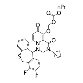 CCCOC(=O)OCOc1c2n(ccc1=O)N([C@@H]1c3ccccc3SCc3c1ccc(F)c3F)CN(C13CC(C1)C3)C2=O